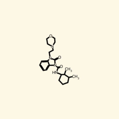 CC1CCCC(NC(=O)n2c(=O)n(CCN3CCOCC3)c3ccccc32)C1C